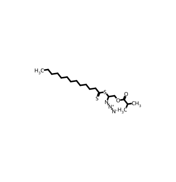 CCCCCCCCCCCCC(=S)SC(COC(=O)C(C)C)N=[N+]=[N-]